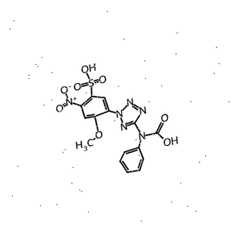 COc1cc([N+](=O)[O-])c(S(=O)(=O)O)cc1-n1nnc(N(C(=O)O)c2ccccc2)n1